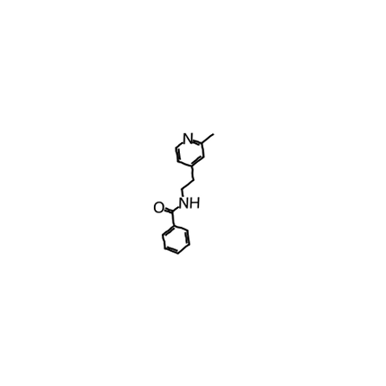 Cc1cc(CCNC(=O)c2ccccc2)ccn1